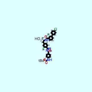 CC(C)(C)OC(=O)Nc1ccc(-c2nc(-c3ccc(CC(NC(=O)c4cccc(-c5ccc(Cl)cc5)c4F)C(=O)O)cc3F)no2)cc1